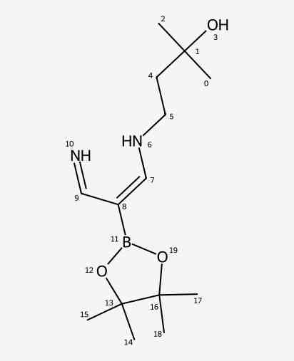 CC(C)(O)CCN/C=C(\C=N)B1OC(C)(C)C(C)(C)O1